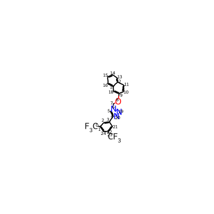 FC(F)(F)c1cc(-c2cn(COc3ccc4ccccc4c3)nn2)cc(C(F)(F)F)c1